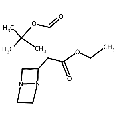 CC(C)(C)OC=O.CCOC(=O)CC1CN2CCN12